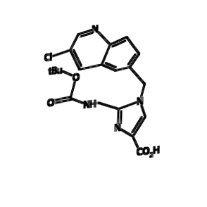 CC(C)(C)OC(=O)NCc1nc(C(=O)O)cn1Cc1ccc2ncc(Cl)cc2c1